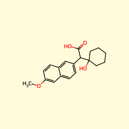 COc1ccc2cc(C(C(=O)O)C3(O)CCCCC3)ccc2c1